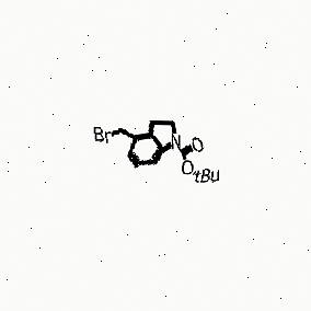 CC(C)(C)OC(=O)N1CCc2c(CBr)cccc21